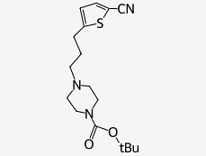 CC(C)(C)OC(=O)N1CCN(CCCc2ccc(C#N)s2)CC1